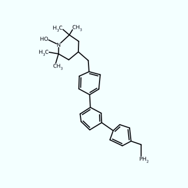 CC1(C)CC(Cc2ccc(-c3cccc(-c4ccc(CP)cc4)c3)cc2)CC(C)(C)N1O